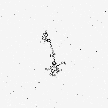 CCCC[C@H](C)C(=O)N1C[C@H]2C[C@H]2[C@H]1C(=O)N[C@@H](CCC(N)=O)[C@@H](C)OCc1ccc(CCCNC(=O)COCCOCCCc2ccc3c(c2)n(C)c(=O)n3C2CCC(=O)NC2=O)cc1